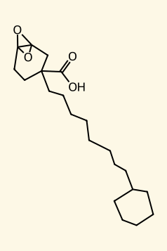 O=C(O)C1(CCCCCCCCC2CCCCC2)CCC23OC2(C1)O3